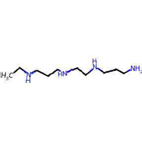 CCNCCCNCCNCCCN